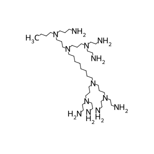 CCCCN(CCCN)CCCN(CCCCCCCCN(CCCN(CCN)CCN)CCCN(CCN)CCN)CCCN(CCN)CCN